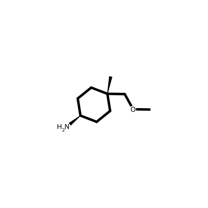 COC[C@]1(C)CC[C@@H](N)CC1